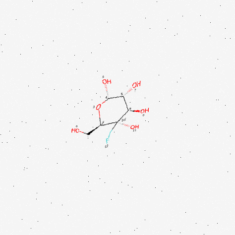 OC[C@H]1O[C@H](O)[C@H](O)[C@@H](O)[C@@]1(O)F